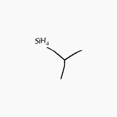 CC(C)C.[SiH4]